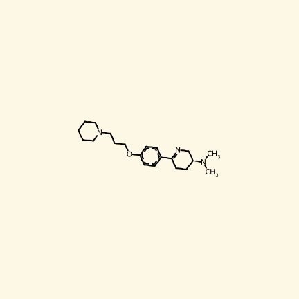 CN(C)[C@H]1CCC(c2ccc(OCCCN3CCCCC3)cc2)=NC1